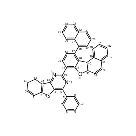 C1=Cc2sc3c(-c4ccccc4)nc(-c4ccc(-c5cccc6ccccc56)c5c4OC4C=Cc6ccccc6C54)nc3c2CC1